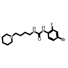 O=C(NCCCCN1CCCCC1)Nc1ccc(Br)cc1F